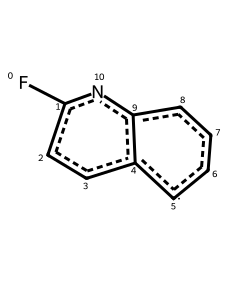 Fc1ccc2[c]cccc2n1